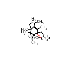 CCC1=C(C)C(CC)(OC)C(C)(CC)C(C)(C)C1(C)CC